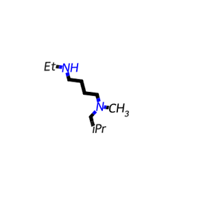 CCNCCCCN(C)CC(C)C